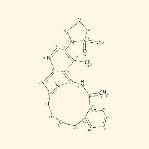 C=C1Nc2nc(nc3ncc(N4CCCS4(=O)=O)c(C(F)(F)F)c23)CCCCc2ccccc21